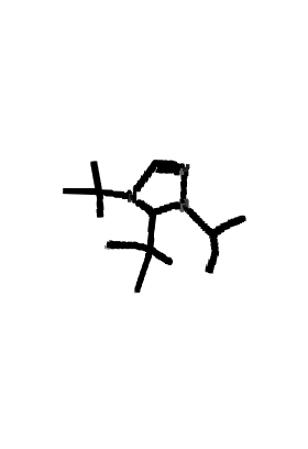 CC(C)N1N=CN(C(C)(C)C)C1C(C)(C)C